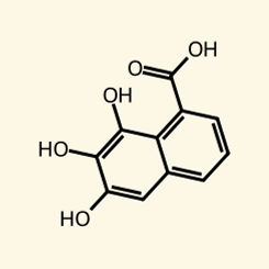 O=C(O)c1cccc2cc(O)c(O)c(O)c12